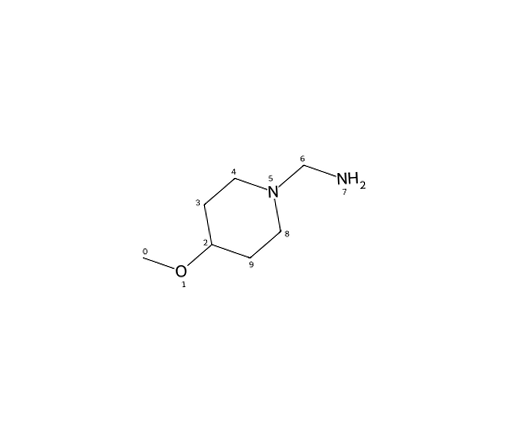 COC1CCN(CN)CC1